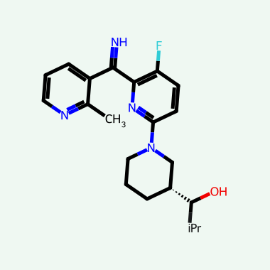 Cc1ncccc1C(=N)c1nc(N2CCC[C@@H](C(O)C(C)C)C2)ccc1F